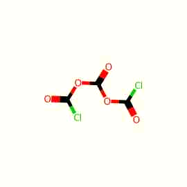 O=C(Cl)OC(=O)OC(=O)Cl